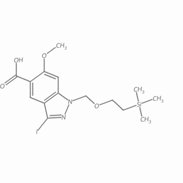 COc1cc2c(cc1C(=O)O)c(I)nn2COCC[Si](C)(C)C